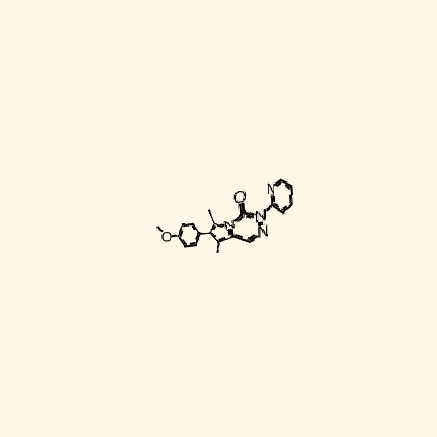 COc1ccc(-c2c(C)c3cnn(-c4ccccn4)c(=O)n3c2C)cc1